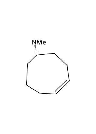 CN[C@@H]1CC/C=C\CCC1